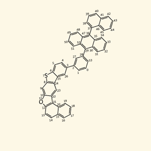 c1cc(-c2ccc3sc4cc5oc6ccc7ccccc7c6c5cc4c3c2)cc(-c2c3ccccc3c(-c3cccc4ccccc34)c3ccccc23)c1